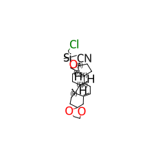 C[C@]12CCC3(CC1=CC[C@@H]1[C@@H]2CC[C@@]2(C)[C@H]1CC[C@@]2(C#N)O[Si](C)(C)CCl)OCCO3